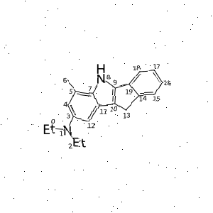 CCN(CC)c1cc(C)c2[nH]c3c(c2c1)Cc1ccccc1-3